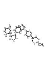 CN1CCN(c2ccc(-c3nnc4ccc(N5CCC[C@@H]5c5cc(F)ccc5F)cn34)cc2)CC1